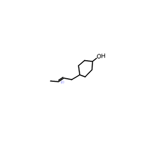 C/C=C/CC1CCC(O)CC1